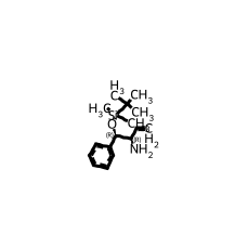 C=C[C@@H](N)[C@H](O[Si](C)(C)C(C)(C)C)c1ccccc1